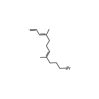 [CH]=CC=C(C)CCC=C(C)CCCC(C)C